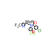 CNC(=O)C(c1ccc(Cl)cc1)N(CCCc1ccc(C(F)(F)F)nc1)c1cccc(OC(F)F)c1